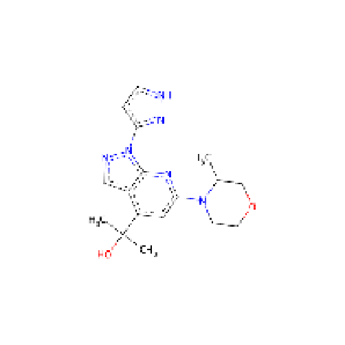 CC1COCCN1c1cc(C(C)(C)O)c2cnn(-c3cc[nH]n3)c2n1